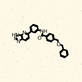 O=C(Nc1cccc(-c2ccc3nn[nH]c3n2)c1)c1ccc(COCc2ccccc2)cc1